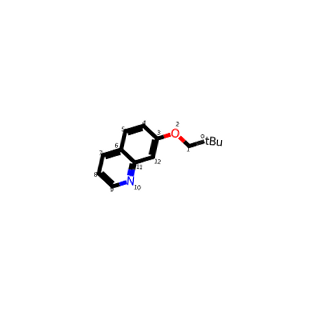 CC(C)(C)COc1ccc2cccnc2c1